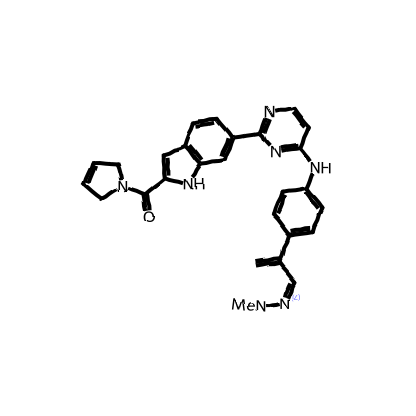 C=C(/C=N\NC)c1ccc(Nc2ccnc(-c3ccc4cc(C(=O)N5CC=CC5)[nH]c4c3)n2)cc1